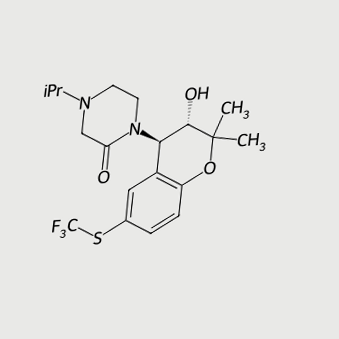 CC(C)N1CCN([C@@H]2c3cc(SC(F)(F)F)ccc3OC(C)(C)[C@H]2O)C(=O)C1